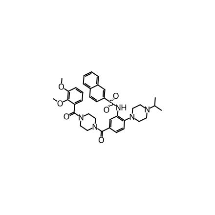 COc1cccc(C(=O)N2CCN(C(=O)c3ccc(N4CCN(C(C)C)CC4)c(NS(=O)(=O)c4ccc5ccccc5c4)c3)CC2)c1OC